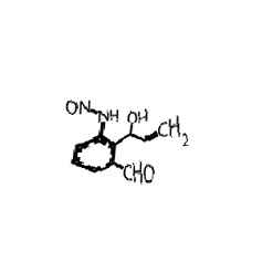 C=CC(O)c1c(C=O)cccc1NN=O